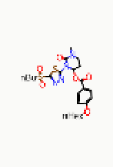 CCCCCCOc1ccc(C(=O)OC2CCN(C)C(=O)N2c2nnc(S(=O)(=O)CCCC)s2)cc1